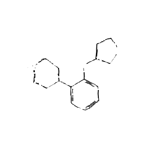 c1ccc(C2CCNCC2)c(OC2CCOC2)c1